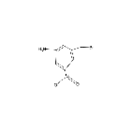 Nc1cc(CBr)cc([N+](=O)[O-])c1